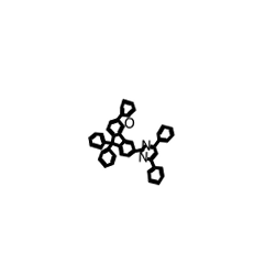 c1ccc(-c2cc(-c3ccccc3)nc(-c3ccc4c(c3)-c3c(ccc5c3oc3ccccc35)C4(c3ccccc3)c3ccccc3)n2)cc1